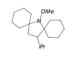 CON1C2(CCCCC2)CC(C(C)C)C12CCCCC2